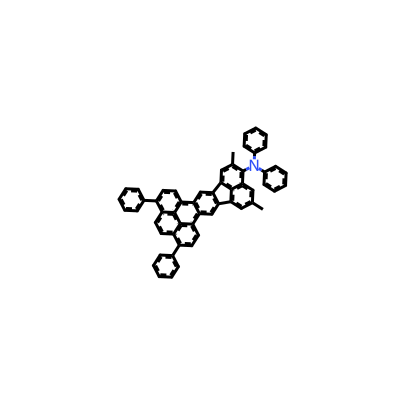 Cc1cc2c3c(cc(C)c(N(c4ccccc4)c4ccccc4)c3c1)-c1cc3c(cc1-2)c1ccc(-c2ccccc2)c2ccc4c(-c5ccccc5)ccc3c4c21